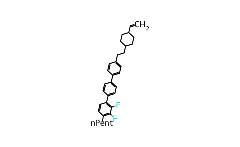 C=CC1CCC(CCc2ccc(-c3ccc(-c4ccc(CCCCC)c(F)c4F)cc3)cc2)CC1